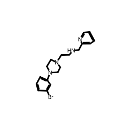 Brc1cccc(N2CCN(CCNCc3ccccn3)CC2)c1